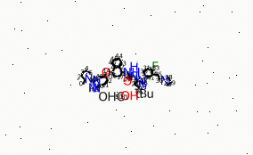 CC1CCCCN1c1nnc2ccc(O[C@@H]3CC[C@H](NC(=O)Nc4cc(C(C)(C)C)nn4-c4ccc(F)c(CCN5CCC5)c4)c4ccccc43)cn12.O=CO